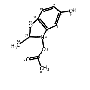 CC(=O)ON1c2cc(O)ccc2OC1C